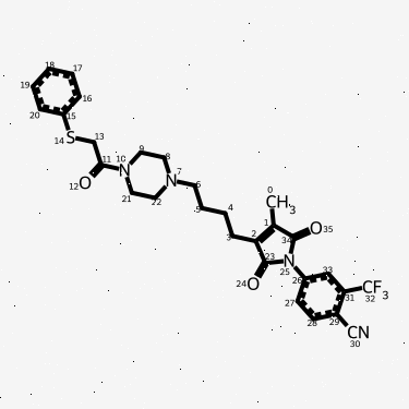 CC1=C(CCCCN2CCN(C(=O)CSc3ccccc3)CC2)C(=O)N(c2ccc(C#N)c(C(F)(F)F)c2)C1=O